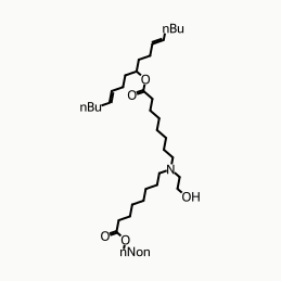 CCCCC=CCCC(CCC=CCCCC)OC(=O)CCCCCCCN(CCO)CCCCCCCC(=O)OCCCCCCCCC